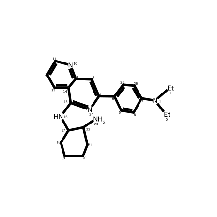 CCN(CC)c1ccc(-c2cc3ncccc3c(NC3CCCCC3N)n2)cc1